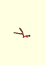 CCCCCCCCCCC(=CCCCC1(CCCCOC(=O)CCCN(C)C)CC1)CCCCCCCCCC